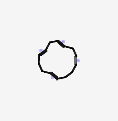 [C]1=C/CC/C=C/C/C=C/C/C=C\CC/1